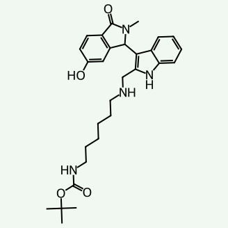 CN1C(=O)c2ccc(O)cc2C1c1c(CNCCCCCCNC(=O)OC(C)(C)C)[nH]c2ccccc12